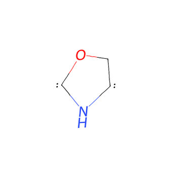 [C]1CO[C]N1